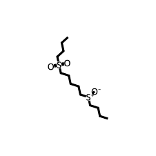 CCCC[S+]([O-])CCCCCS(=O)(=O)CCCC